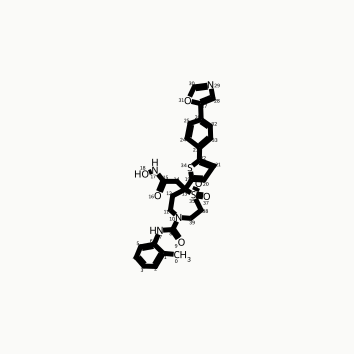 Cc1ccccc1NC(=O)N1CCC(CC(=O)NO)(c2ccc(-c3ccc(-c4cnco4)cc3)s2)S(=O)(=O)CC1